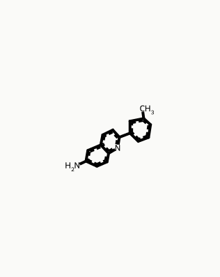 Cc1cccc(-c2ccc3cc(N)ccc3n2)c1